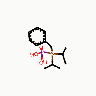 CC(C)S(Cc1ccccc1)(C(C)C)P(=O)(O)O